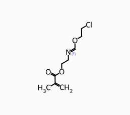 C=C(C)C(=O)OCC/N=C/OCCCl